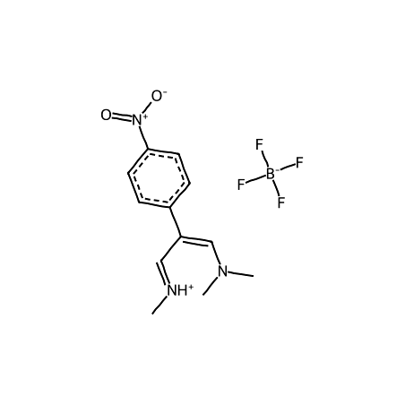 C/[NH+]=C/C(=C\N(C)C)c1ccc([N+](=O)[O-])cc1.F[B-](F)(F)F